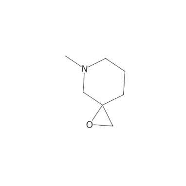 CN1CCCC2(CO2)C1